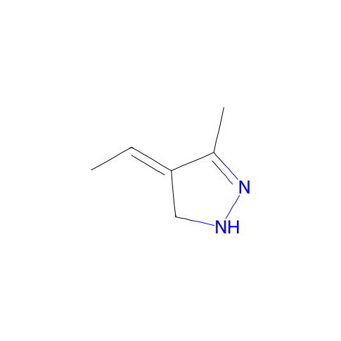 C/C=C1\CNN=C1C